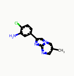 Cc1cnc2nc(-c3ccc(Cl)c(N)c3)cn2c1